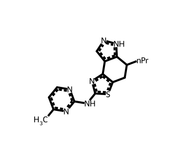 CCCC1Cc2sc(Nc3nccc(C)n3)nc2-c2cn[nH]c21